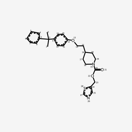 CC(C)(c1ccccc1)c1ccc(OCCC2CCN(C(=O)OCc3cncs3)CC2)cc1